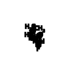 C=C(C)[C@H]1CC[C@H](Nc2ncc3nc(Nc4ccc(F)cc4F)n(C4CCOCC4)c3n2)CC1